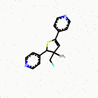 CC1(CF)C=C(c2ccncc2)SC1c1ccncc1